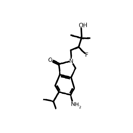 CC(C)c1cc2c(cc1N)CN(CC(F)C(C)(C)O)C2=O